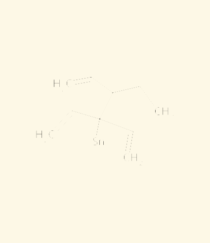 C=CC(CC)[C]([Sn])(C=C)C=C